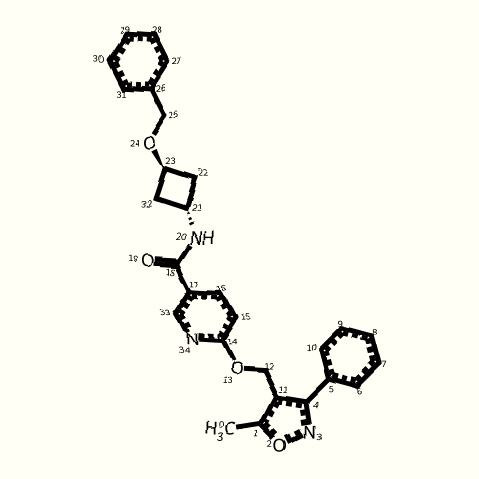 Cc1onc(-c2ccccc2)c1COc1ccc(C(=O)N[C@H]2C[C@H](OCc3ccccc3)C2)cn1